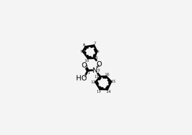 O=C(O)N(Oc1ccccc1)c1ccccc1